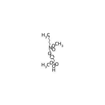 CCCCCCCN(CCOc1ccc(CC(OCC)C(=O)O)cc1)C(=O)OCC